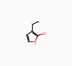 CCc1ccoc1[O]